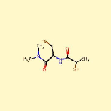 CC(S)C(=O)NC(CS)C(=O)N(C)C